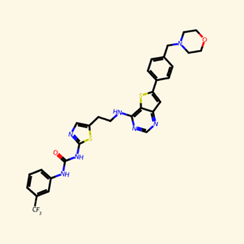 O=C(Nc1cccc(C(F)(F)F)c1)Nc1ncc(CCNc2ncnc3cc(-c4ccc(CN5CCOCC5)cc4)sc23)s1